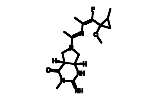 COC1(/C(F)=C(C)\N=C(/C)N2C[C@@H]3NC(=N)N(C)C(=O)[C@@H]3C2)CC1C